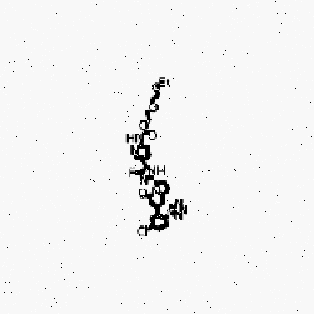 CCOCCOCCOC(=O)Nc1ccc(-c2[nH]c([C@@H]3CCc4cc(-c5cc(Cl)ccc5-n5cnnn5)cc(=O)n43)nc2F)cn1